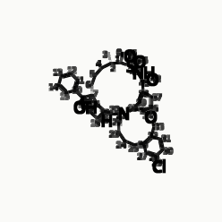 C[C@@H]1[C@@H](C)CCC[C@@H]([C@H](O)c2ccccc2)[C@@H]2CC[C@H]2CN2CCCCc3cc(Cl)ccc3COc3ccc(cc32)C(=O)NS1(=O)=O